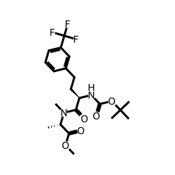 COC(=O)[C@H](C)N(C)C(=O)[C@@H](CCc1cccc(C(F)(F)F)c1)NC(=O)OC(C)(C)C